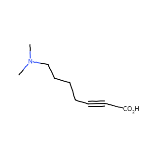 CN(C)CCCCC#CC(=O)O